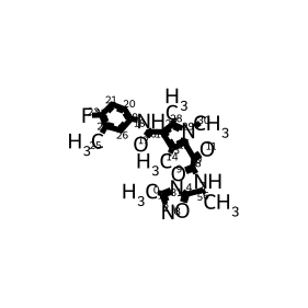 Cc1noc([C@H](C)NC(=O)C(=O)c2c(C)c(C(=O)Nc3ccc(F)c(C)c3)c(C)n2C)n1